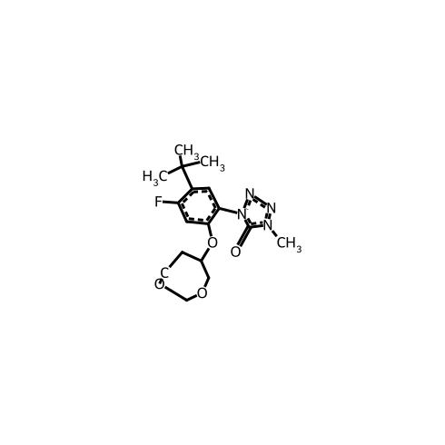 Cn1nnn(-c2cc(C(C)(C)C)c(F)cc2OC2CCOCOC2)c1=O